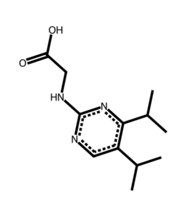 CC(C)c1cnc(NCC(=O)O)nc1C(C)C